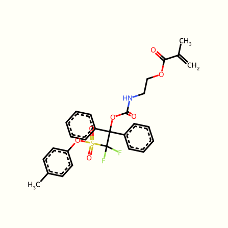 C=C(C)C(=O)OCCNC(=O)OC(c1ccccc1)(c1ccccc1)C(F)(F)S(=O)(=O)Oc1ccc(C)cc1